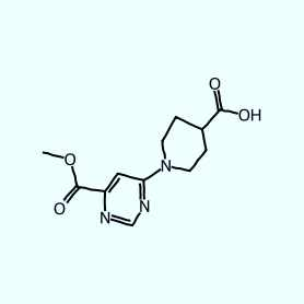 COC(=O)c1cc(N2CCC(C(=O)O)CC2)ncn1